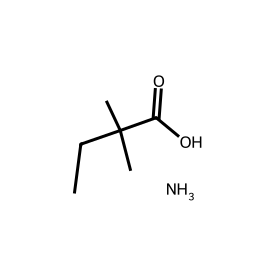 CCC(C)(C)C(=O)O.N